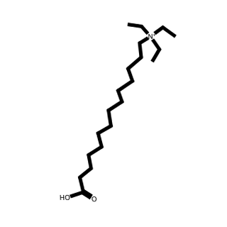 CC[N+](CC)(CC)CCCCCCCCCCCCCC(=O)O